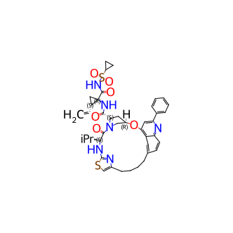 C=C[C@@H]1C[C@]1(NC(=O)[C@@H]1C[C@@H]2CN1C(=O)[C@H](C(C)C)Nc1nc(cs1)CCCCc1ccc3nc(-c4ccccc4)cc(c3c1)O2)C(=O)NS(=O)(=O)C1CC1